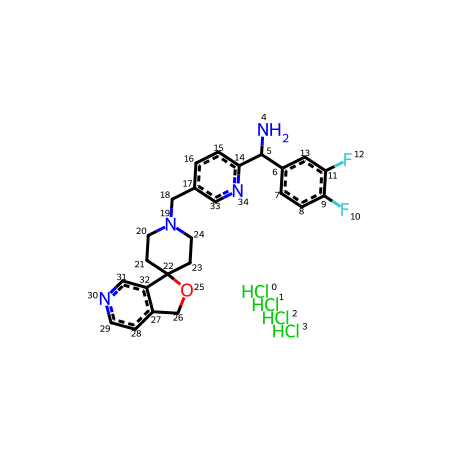 Cl.Cl.Cl.Cl.NC(c1ccc(F)c(F)c1)c1ccc(CN2CCC3(CC2)OCc2ccncc23)cn1